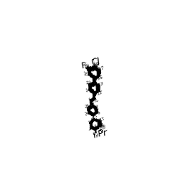 CCC[C@H]1CC[C@H](c2ccc(CCc3ccc(-c4ccc(Cl)c(F)c4)cc3)cc2)CC1